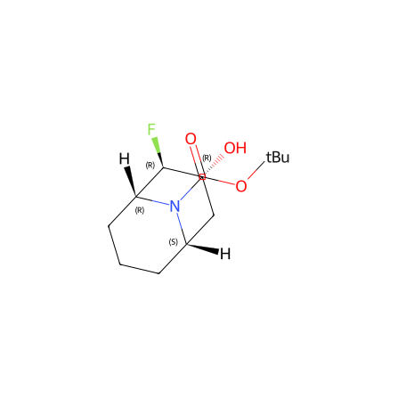 CC(C)(C)OC(=O)N1[C@H]2CCC[C@@H]1[C@@H](F)[C@H](O)C2